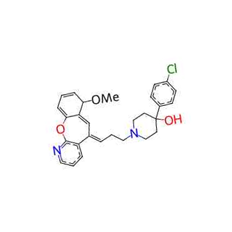 COC1C=CC=C2Oc3ncccc3C(=CCCN3CCC(O)(c4ccc(Cl)cc4)CC3)C=C21